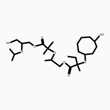 CCC(C)(OC1CCCCC(O)CC1)C(=O)OCC(C)OC(C)(C)C(=O)OCC(CO)OC(C)C